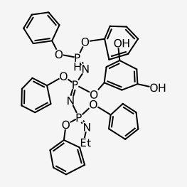 CCN=P(N=P(N=[PH](Oc1ccccc1)Oc1ccccc1)(Oc1ccccc1)Oc1cc(O)cc(O)c1)(Oc1ccccc1)Oc1ccccc1